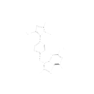 CCCc1nc2c(C)cc(C)nc2n1Cc1ccc(-c2c(C#N)cc(CC)n2CC)cc1